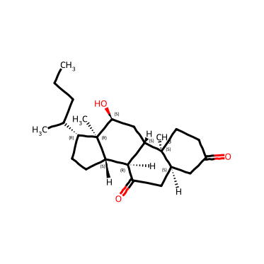 CCCC(C)[C@H]1CC[C@H]2[C@@H]3C(=O)C[C@@H]4CC(=O)CC[C@]4(C)[C@H]3C[C@H](O)[C@]12C